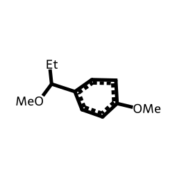 [CH2]CC(OC)c1ccc(OC)cc1